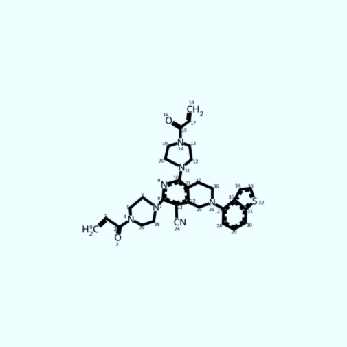 C=CC(=O)N1CCN(c2nc(N3CCN(C(=O)C=C)CC3)c3c(c2C#N)CN(c2cccc4sccc24)CC3)CC1